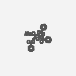 COC1C(COC(=O)c2ccccc2)OC(OC(=O)c2ccccc2)[C@@H]1OC(=O)c1ccccc1